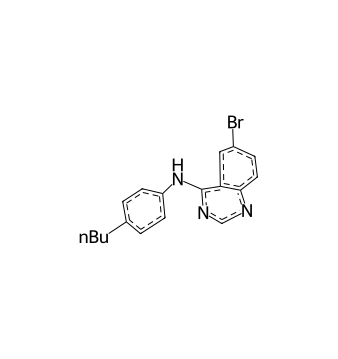 CCCCc1ccc(Nc2ncnc3ccc(Br)cc23)cc1